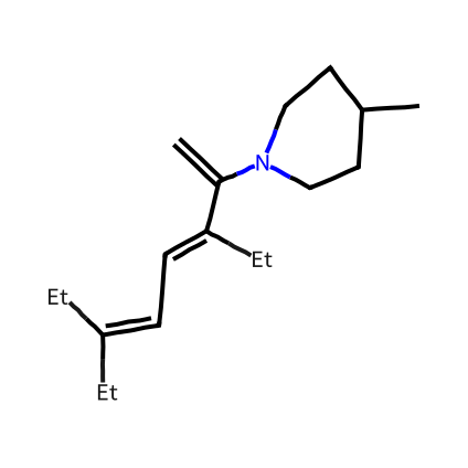 C=C(/C(=C/C=C(CC)CC)CC)N1CCC(C)CC1